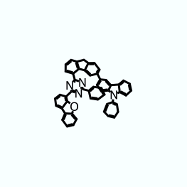 C1=CCC=C(n2c3ccccc3c3cc(-c4ccc5c(c4)-c4c(cccc4-c4nc(-c6ccccc6)nc(-c6cccc7c6oc6ccccc67)n4)C5)ccc32)C=C1